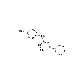 CC(/N=C(\NC#N)Nc1ccc(C#N)cc1)C1CCCCC1